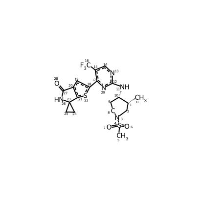 C[C@@H]1CN(S(C)(=O)=O)CC[C@@H]1Nc1ncc(C(F)(F)F)c(-c2cc3c(s2)C2(CC2)NC3=O)n1